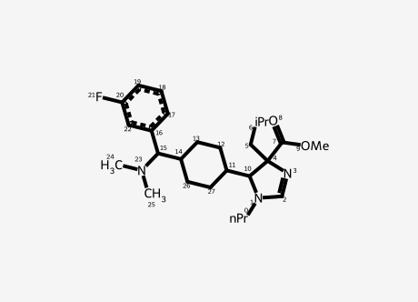 CCCN1C=NC(CC(C)C)(C(=O)OC)C1C1CCC(C(c2cccc(F)c2)N(C)C)CC1